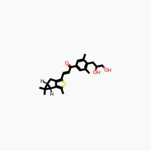 Cc1cc(C(=O)C=Cc2sc(C)c3c2C[C@@H]2[C@H]3C2(C)C)cc(C)c1CC(O)CO